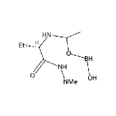 CC[C@H](NC(C)OBO)C(=O)NNC